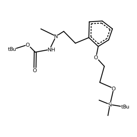 CN(CCc1ccccc1OCCO[Si](C)(C)C(C)(C)C)NC(=O)OC(C)(C)C